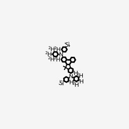 [2H]c1c([2H])c([2H])c(N(c2ccc([Si](C)(C)C)cc2)c2ccc3c(c2)C(C)(C)c2c-3c3ccccc3c3cc(N(c4ccc([Si](C)(C)C)cc4)c4c([2H])c([2H])c([2H])c([2H])c4[2H])ccc23)c([2H])c1[2H]